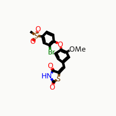 COc1cc(/C=C2/SC(=O)NC2=O)ccc1Oc1ccc(S(C)(=O)=O)cc1Br